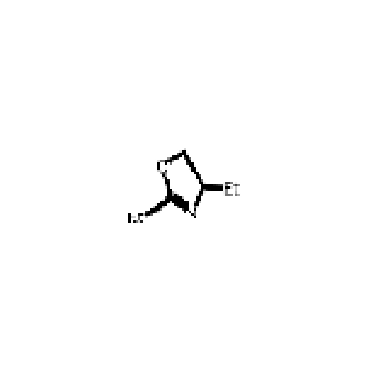 CCC1=NC(CC)CO1